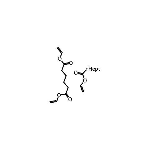 C=COC(=O)CCCCC(=O)OC=C.C=COC(=O)CCCCCCC